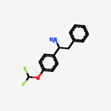 NC(Cc1ccccc1)c1ccc(OC(F)F)cc1